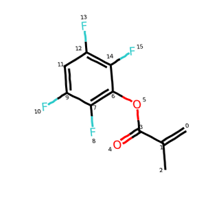 C=C(C)C(=O)Oc1c(F)c(F)cc(F)c1F